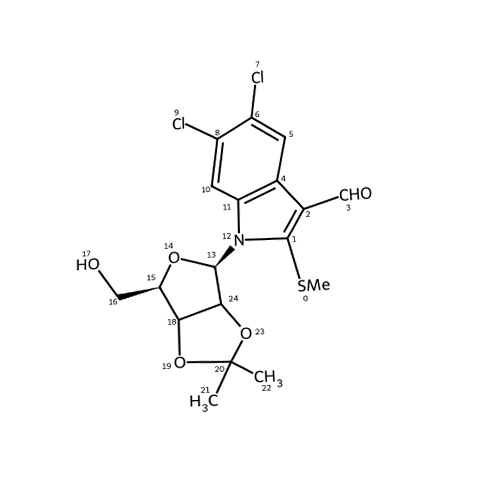 CSc1c(C=O)c2cc(Cl)c(Cl)cc2n1[C@@H]1O[C@H](CO)C2OC(C)(C)OC21